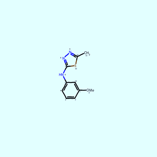 COc1cccc(Nc2nnc(C)s2)c1